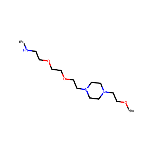 CC(C)(C)NCCOCCOCCN1CCN(CCOC(C)(C)C)CC1